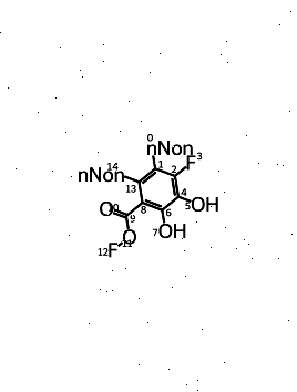 CCCCCCCCCc1c(F)c(O)c(O)c(C(=O)OF)c1CCCCCCCCC